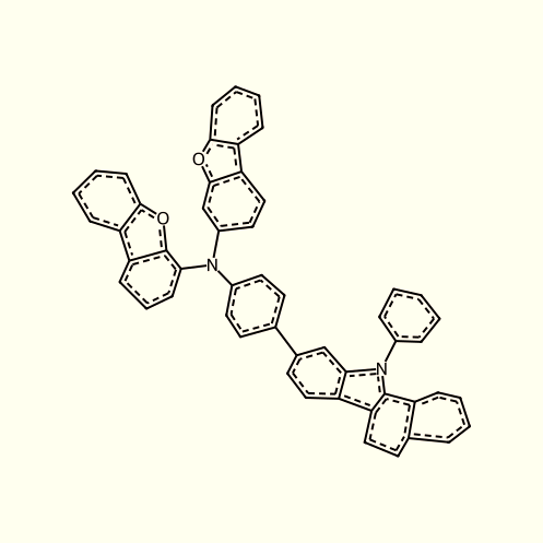 c1ccc(-n2c3cc(-c4ccc(N(c5ccc6c(c5)oc5ccccc56)c5cccc6c5oc5ccccc56)cc4)ccc3c3ccc4ccccc4c32)cc1